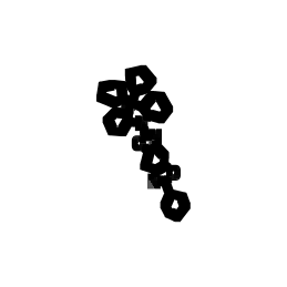 c1ccc(-c2nc3cc4oc(N5c6ccccc6[Si](c6ccccc6)(c6ccccc6)c6ccccc65)nc4cc3o2)cc1